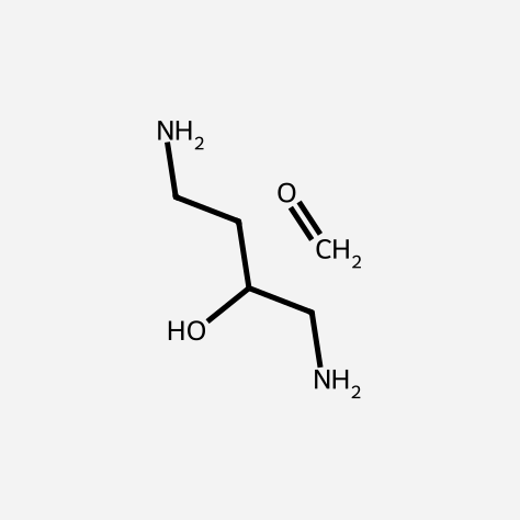 C=O.NCCC(O)CN